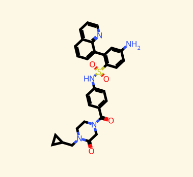 Nc1ccc(S(=O)(=O)Nc2ccc(C(=O)N3CCN(CC4CC4)C(=O)C3)cc2)c(-c2cccc3cccnc23)c1